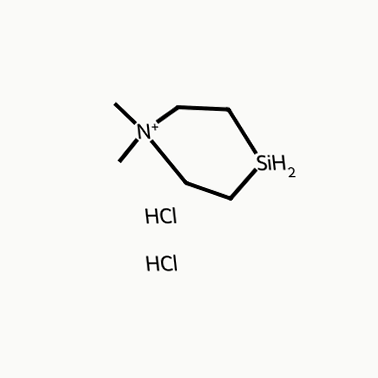 C[N+]1(C)CC[SiH2]CC1.Cl.Cl